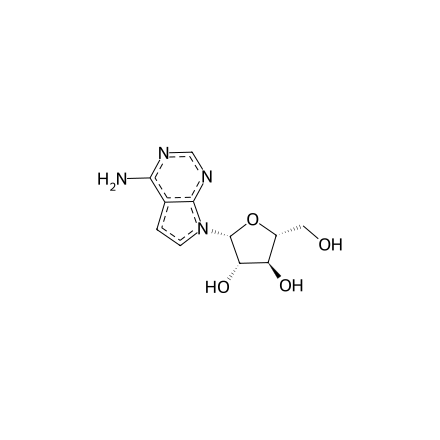 Nc1ncnc2c1ccn2[C@@H]1O[C@H](CO)[C@@H](O)[C@@H]1O